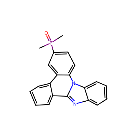 CP(C)(=O)c1ccc2c(c1)c1ccccc1c1nc3ccccc3n21